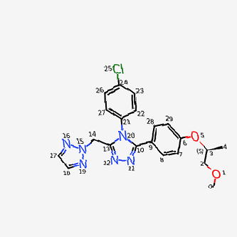 COC[C@H](C)Oc1ccc(-c2nnc(Cn3nccn3)n2-c2ccc(Cl)cc2)cc1